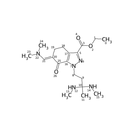 CCOC(=O)c1nn(CCC(C)(NC)NC)c2c1CCC(=CN(C)C)C2=O